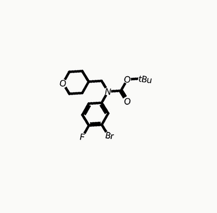 CC(C)(C)OC(=O)N(CC1CCOCC1)c1ccc(F)c(Br)c1